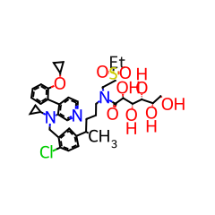 CCS(=O)(=O)CCN(CCCC(C)c1ccc(Cl)c(CN(c2cnccc2-c2ccccc2OC2CC2)C2CC2)c1)C(=O)[C@@H](O)[C@@H](O)[C@H](O)[C@@H](O)CO